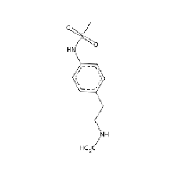 CS(=O)(=O)Nc1ccc(CCNC(=O)O)cc1